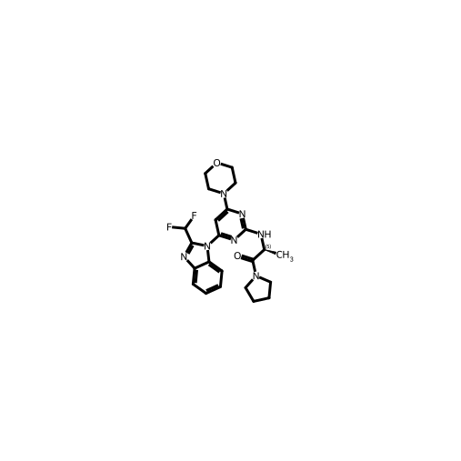 C[C@H](Nc1nc(N2CCOCC2)cc(-n2c(C(F)F)nc3ccccc32)n1)C(=O)N1CCCC1